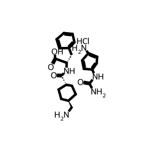 Cl.NC(=O)Nc1ccc(N)cc1.NC[C@H]1CC[C@H](C(=O)N[C@@H](Cc2ccccc2)C(=O)O)CC1